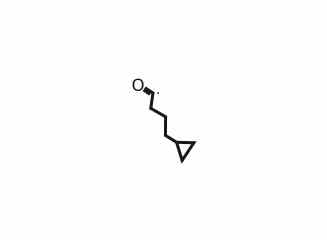 O=[C]CCCC1CC1